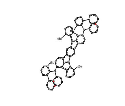 CC(C)(C)c1cccc(-c2ccccc2)c1N(c1ccccc1)c1ccc2c3cc4c(cc3n3c5c(C(C)(C)C)cccc5c1c23)c1ccc(N(c2ccccc2)c2c(-c3ccccc3)cccc2C(C)(C)C)c2c3cccc(C(C)(C)C)c3n4c12